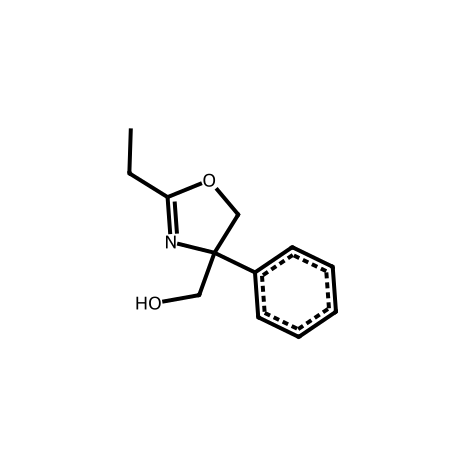 CCC1=NC(CO)(c2ccccc2)CO1